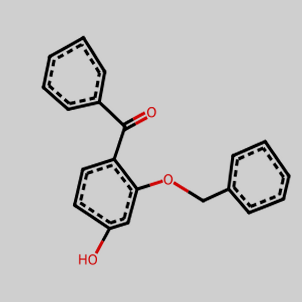 O=C(c1ccccc1)c1ccc(O)cc1OCc1ccccc1